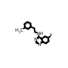 Cc1cccc(CCNc2ncnc3ccc(F)cc23)c1